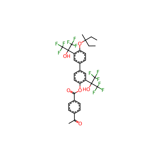 CCC(C)(CC)Oc1ccc(-c2ccc(OC(=O)c3ccc(C(C)=O)cc3)c(C(O)(C(F)(F)F)C(F)(F)F)c2)cc1C(O)(C(F)(F)F)C(F)(F)F